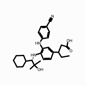 CCC(CC(=O)O)c1ccc(N[C@@H](C2CCCCC2)C(C)(C)O)c(Nc2ccc(C#N)cc2)c1